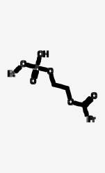 CCOP(=O)(O)OCCOC(=O)C(C)C